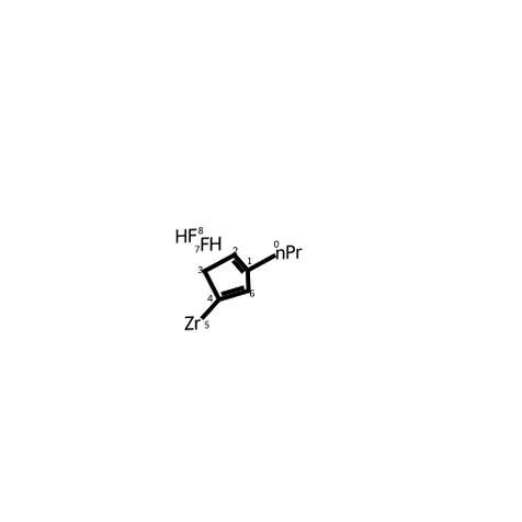 CCCC1=CC[C]([Zr])=C1.F.F